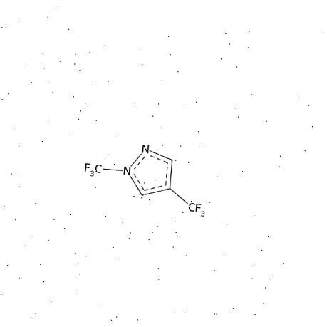 FC(F)(F)c1[c]nn(C(F)(F)F)[c]1